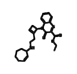 CCOC(=O)c1nc2ccccc2n([C@@H]2CC=C2CCNC2C=CCCCC2)c1=O